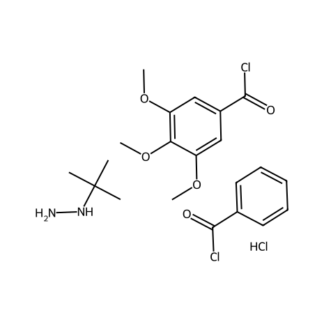 CC(C)(C)NN.COc1cc(C(=O)Cl)cc(OC)c1OC.Cl.O=C(Cl)c1ccccc1